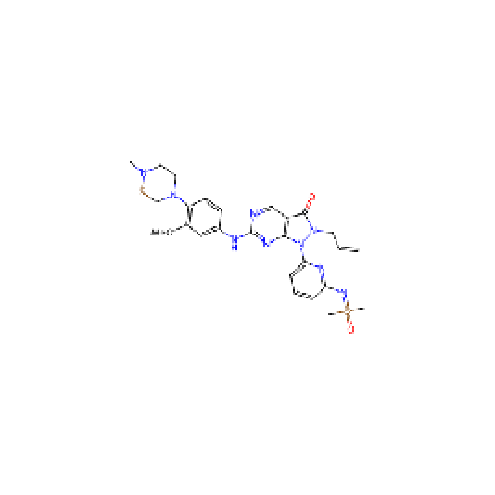 C=CCn1c(=O)c2cnc(Nc3ccc(N4CCN(C)SC4)c(OC)c3)nc2n1-c1cccc(N=S(C)(C)=O)n1